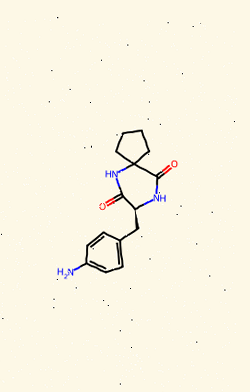 Nc1ccc(C[C@@H]2NC(=O)C3(CCCC3)NC2=O)cc1